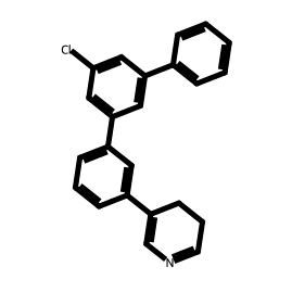 Clc1cc(-c2ccccc2)cc(-c2cccc(C3=CN=CCC3)c2)c1